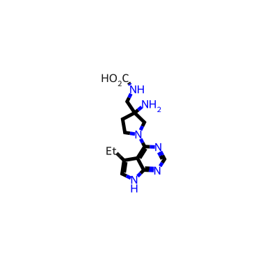 CCc1c[nH]c2ncnc(N3CCC(N)(CNC(=O)O)C3)c12